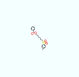 Cc1ccc(S(=O)(=O)SCCCCCCOC(=O)c2ccccc2)cc1